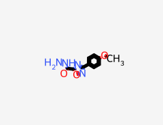 COc1ccc(-c2noc(C(=O)NN)n2)cc1